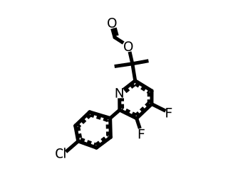 CC(C)(OC=O)c1cc(F)c(F)c(-c2ccc(Cl)cc2)n1